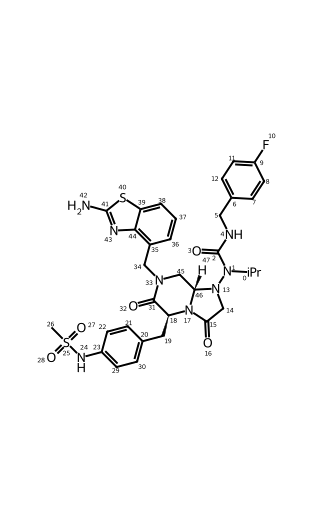 CC(C)N(C(=O)NCc1ccc(F)cc1)N1CC(=O)N2[C@@H](Cc3ccc(NS(C)(=O)=O)cc3)C(=O)N(Cc3cccc4sc(N)nc34)C[C@@H]21